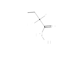 CCC(C)(C)C(=O)NC